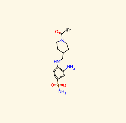 CC(C)C(=O)N1CCC(CNc2ccc(S(N)(=O)=O)cc2N)CC1